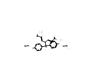 CC(=CC(C=C(C)C(=O)O)C(C)(c1ccc(OCC=O)cc1)c1ccc(OCC=O)cc1)C(=O)O